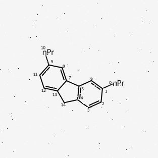 CCCc1c[c]c2c(c1)-c1cc(CCC)ccc1C2